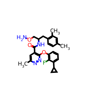 Cc1ccc(CC(CON)NC(=O)c2cc(C)nnc2Oc2cccc(C3CC3)c2F)c(C)c1